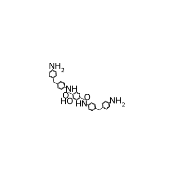 Nc1ccc(Cc2ccc(NC(=O)c3ccc(C(=O)Nc4ccc(Cc5ccc(N)cc5)cc4)c(O)c3)cc2)cc1